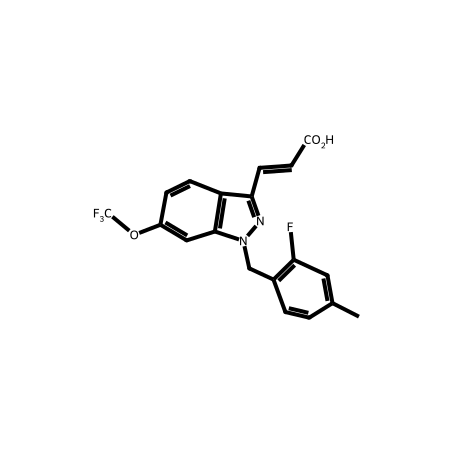 Cc1ccc(Cn2nc(C=CC(=O)O)c3ccc(OC(F)(F)F)cc32)c(F)c1